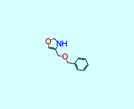 C1=C(COCc2ccccc2)NCO1